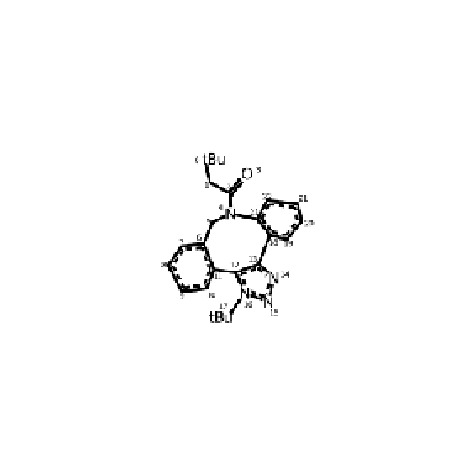 CC(C)(C)CC(=O)N1Cc2ccccc2-c2c(nnn2C(C)(C)C)-c2ccccc21